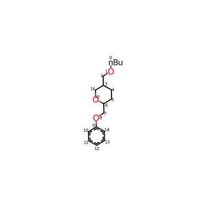 CCCCOCC1CCC(COc2ccccc2)OC1